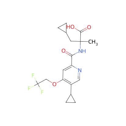 CC(CC1CC1)(NC(=O)c1cc(OCC(F)(F)F)c(C2CC2)cn1)C(=O)O